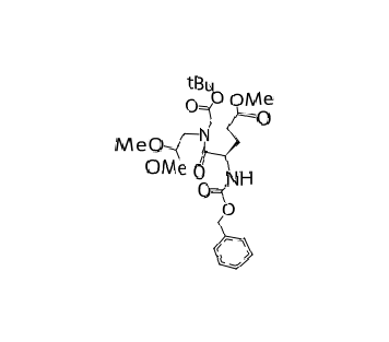 COC(=O)CC[C@@H](NC(=O)OCc1ccccc1)C(=O)N(CC(=O)OC(C)(C)C)CC(OC)OC